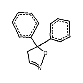 C1=NOC(c2ccccc2)(c2ccccc2)C1